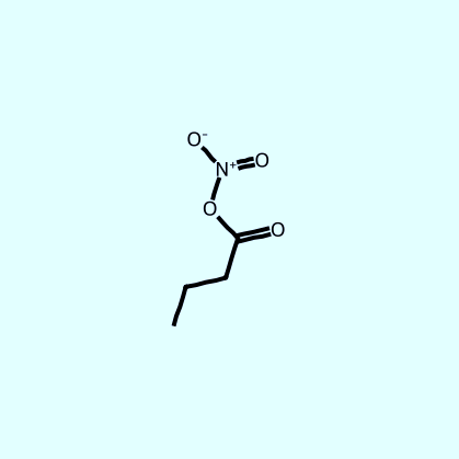 CCCC(=O)O[N+](=O)[O-]